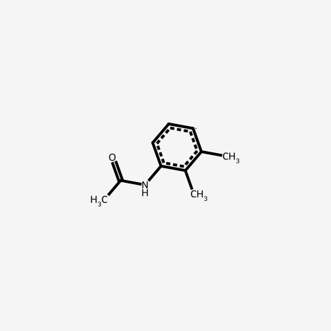 CC(=O)Nc1cc[c]c(C)c1C